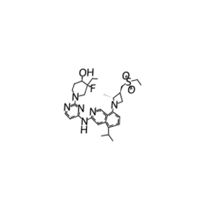 CC[C@]1(F)CN(c2nccc(Nc3cc4c(C(C)C)ccc(N5C[C@H](CS(=O)(=O)CC)[C@H]5C)c4cn3)n2)CC[C@H]1O